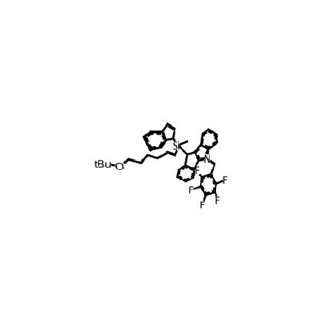 CC(C)(C)OCCCCCC[Si](C)(C1C=Cc2ccccc21)C1c2ccccc2-c2c1c1ccccc1n2Cc1c(F)c(F)c(F)c(F)c1F